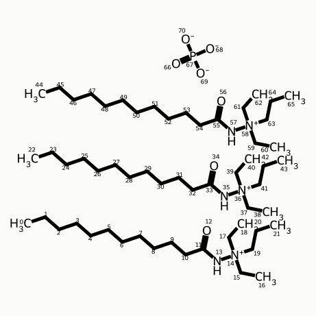 CCCCCCCCCCCC(=O)N[N+](CC)(CC)CCC.CCCCCCCCCCCC(=O)N[N+](CC)(CC)CCC.CCCCCCCCCCCC(=O)N[N+](CC)(CC)CCC.O=P([O-])([O-])[O-]